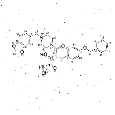 O=C(NO)[C@@H](O)[C@@H](Cc1ccc(OCc2ccccc2)cc1)C(=O)N1CCN(Cc2ccc3c(c2)OCO3)CC1